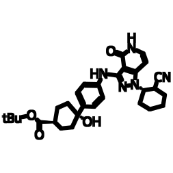 CC(C)(C)OC(=O)[C@H]1CC[C@@](O)(c2ccc(Nc3nn([C@H]4CCCCC4C#N)c4cc[nH]c(=O)c34)cc2)CC1